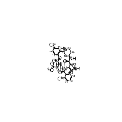 COC(=O)[C@H](C)N[PH](=O)Oc1ccc(Cl)cc1C1CC(NC(=O)c2n[nH]cc2NC(=O)c2c(Cl)cccc2Cl)CCN1